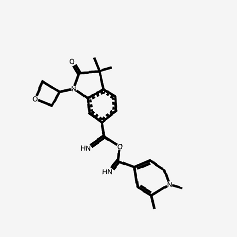 CC1=CC(C(=N)OC(=N)c2ccc3c(c2)N(C2COC2)C(=O)C3(C)C)=CCN1C